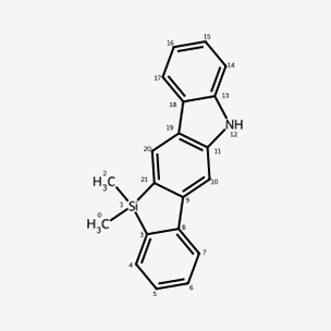 C[Si]1(C)c2ccccc2-c2cc3[nH]c4ccccc4c3cc21